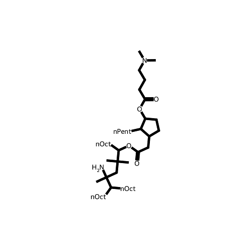 CCCCCCCCC(OC(=O)CC1CCC(OC(=O)CCCN(C)C)C1CCCCC)C(C)(C)CC(C)(N)C(CCCCCCCC)CCCCCCCC